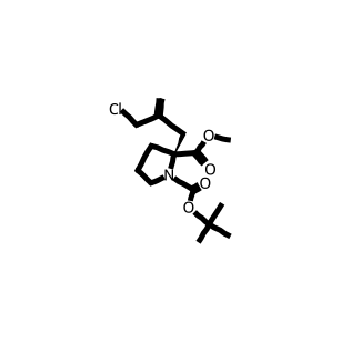 C=C(CCl)C[C@]1(C(=O)OC)CCCN1C(=O)OC(C)(C)C